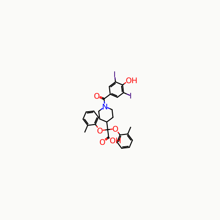 Cc1ccccc1OC(Oc1ccccc1C)(C(=O)O)C1CCN(C(=O)c2cc(I)c(O)c(I)c2)CC1